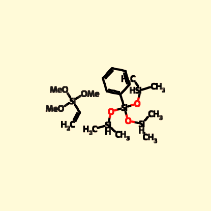 C=C[Si](OC)(OC)OC.C[SiH](C)O[Si](O[SiH](C)C)(O[SiH](C)C)c1ccccc1